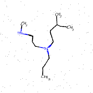 CCCN(CCNC)CCC(C)C